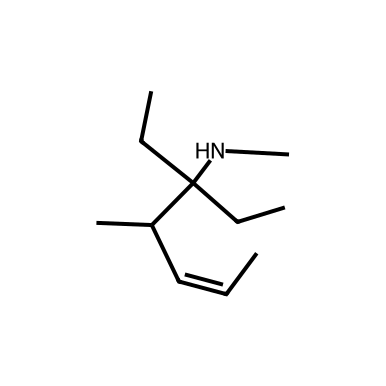 C/C=C\C(C)C(CC)(CC)NC